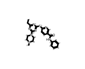 CCc1nc(Sc2ccc(C(=O)Nc3ccccc3)cn2)nc(N2CCN(C)CC2)n1